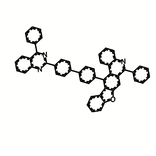 c1ccc(-c2nc(-c3ccc(-c4ccc(-c5c6c(cc7c(-c8ccccc8)nc8ccccc8c57)oc5ccccc56)cc4)cc3)nc3ccccc23)cc1